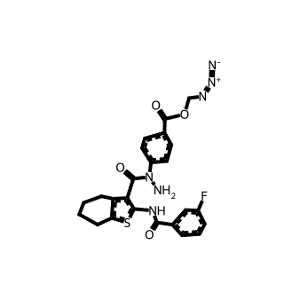 [N-]=[N+]=NCOC(=O)c1ccc(N(N)C(=O)c2c(NC(=O)c3cccc(F)c3)sc3c2CCCC3)cc1